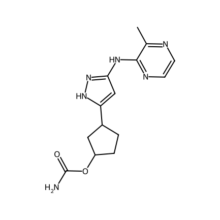 Cc1nccnc1Nc1cc(C2CCC(OC(N)=O)C2)[nH]n1